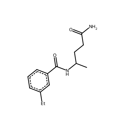 CCc1cccc(C(=O)NC(C)CCC(N)=O)c1